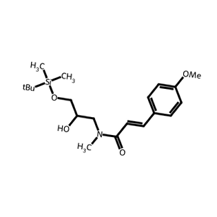 COc1ccc(C=CC(=O)N(C)CC(O)CO[Si](C)(C)C(C)(C)C)cc1